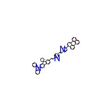 C(=C\c1ccc(-c2ccc(-c3ccccc3)c3c(-c4ccccc4)cccc23)cn1)/c1ccc(/C=C/c2ccc3c(c2)C2(CCCC2)c2cc(N(c4ccccc4)c4ccccc4)ccc2-3)nc1